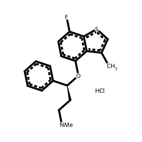 CNCC[C@H](Oc1ccc(F)c2scc(C)c12)c1ccccc1.Cl